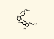 COC1CCN(c2nccc(Nc3cc4c(cn3)c(OC(=O)O)cn4C(C)C)n2)CC1